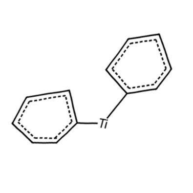 c1cc[c]([Ti][c]2ccccc2)cc1